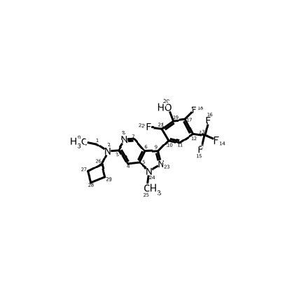 CCN(c1cc2c(cn1)c(-c1cc(C(F)(F)F)c(F)c(O)c1F)nn2C)C1CCC1